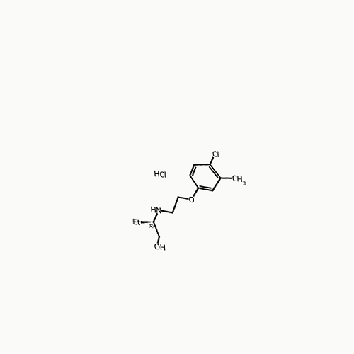 CC[C@H](CO)NCCOc1ccc(Cl)c(C)c1.Cl